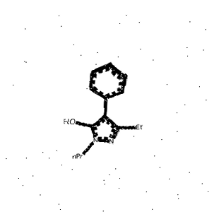 CCCn1nc(CC)c(-c2ccccc2)c1O